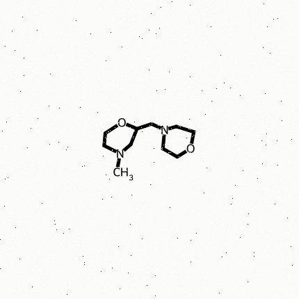 CN1CCOC(CN2CCOCC2)C1